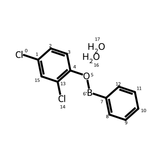 Clc1ccc(O[B]c2ccccc2)c(Cl)c1.O.O